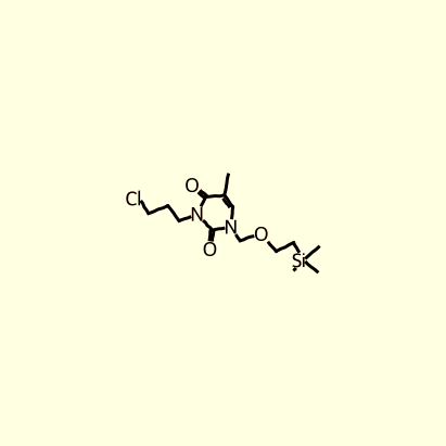 Cc1cn(COCC[Si](C)(C)C)c(=O)n(CCCCl)c1=O